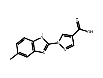 Cc1ccc2[nH]c(-n3cc(C(=O)O)cn3)nc2c1